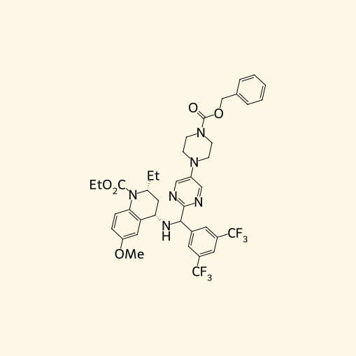 CCOC(=O)N1c2ccc(OC)cc2[C@@H](NC(c2cc(C(F)(F)F)cc(C(F)(F)F)c2)c2ncc(N3CCN(C(=O)OCc4ccccc4)CC3)cn2)C[C@H]1CC